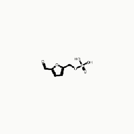 O=Cc1ccc(COP(=O)(O)O)o1